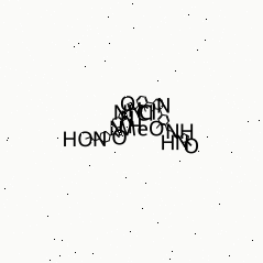 COc1cc(-c2nccc(-c3cccc(NC(=O)c4nc5c(n4C)CCN(C(=O)C4CCN(CCO)CC4)C5)c3Cl)c2Cl)ccc1CNCC1CCC(=O)N1